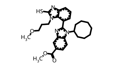 COCCCn1c(S)nc2cccc(-c3nc4cc(C(=O)OC)ccc4n3C3CCCCCCC3)c21